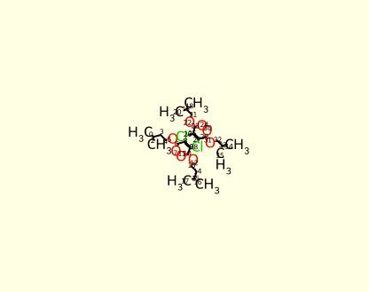 CC(C)CCOC(=O)/C=C\C(=O)OCCC(C)C.CC(C)COC(=O)/C(Cl)=C(/Cl)C(=O)OCC(C)C